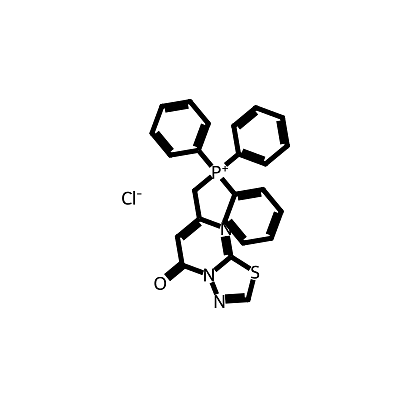 O=c1cc(C[P+](c2ccccc2)(c2ccccc2)c2ccccc2)nc2scnn12.[Cl-]